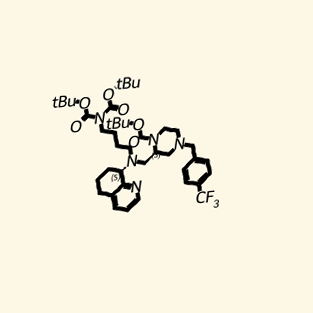 CC(C)(C)OC(=O)N(CCCCN(C[C@@H]1CN(Cc2ccc(C(F)(F)F)cc2)CCN1C(=O)OC(C)(C)C)[C@H]1CCCc2cccnc21)C(=O)OC(C)(C)C